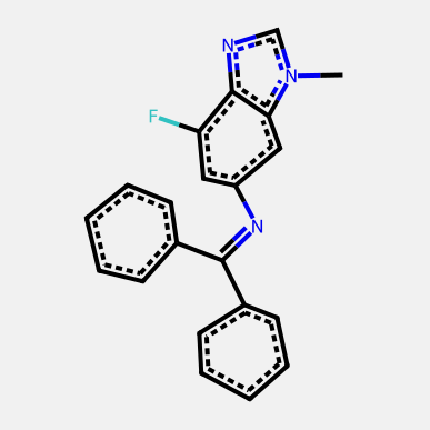 Cn1cnc2c(F)cc(N=C(c3ccccc3)c3ccccc3)cc21